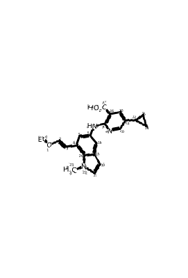 CCOC=Cc1cc(Nc2ncc(C3CC3)cc2C(=O)O)cc2ccn(C)c12